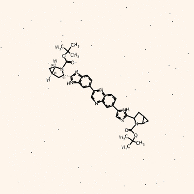 CC(C)(C)OC(=O)N1C(c2ncc(-c3ccc4nc(-c5ccc6nc([C@@H]7C[C@H]8C[C@H]8N7C(=O)OC(C)(C)C)[nH]c6c5)cnc4c3)[nH]2)CC2CC21